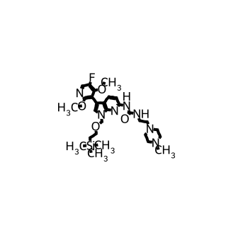 COc1ncc(F)c(OC)c1-c1cn(COCC[Si](C)(C)C)c2nc(NC(=O)NCCN3CCN(C)CC3)ccc12